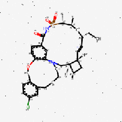 C[C@@H]1C[C@H]2/C=C/[C@@H](CC#N)C[C@H](C)[C@@H](C)S(=O)(=O)NC(=O)c3ccc4c(c3)N(CCCCc3cc(Cl)ccc3CO4)C[C@H]12